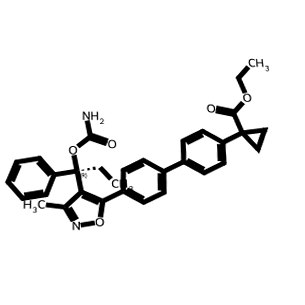 CCOC(=O)C1(c2ccc(-c3ccc(-c4onc(C)c4[C@](CC)(OC(N)=O)c4ccccc4)cc3)cc2)CC1